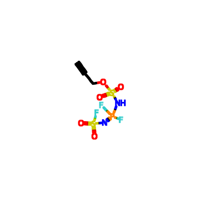 C#CCOS(=O)(=O)NP(F)(F)=NS(=O)(=O)F